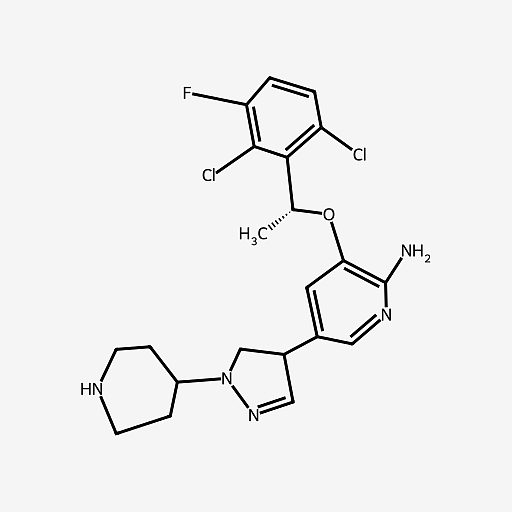 C[C@@H](Oc1cc(C2C=NN(C3CCNCC3)C2)cnc1N)c1c(Cl)ccc(F)c1Cl